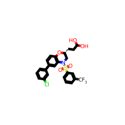 O=S(=O)(c1cccc(C(F)(F)F)c1)N1C[C@@H](CCC(O)O)Oc2ccc(-c3cccc(Cl)c3)cc21